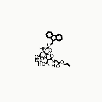 C=CCOC(=O)CNC(=O)[C@@H](NC(=O)[C@H](CC(=O)OC(C)(C)C)NC(=O)OCC1c2ccccc2-c2ccccc21)[C@@H](C)O